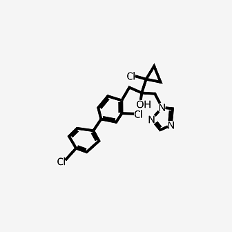 OC(Cc1ccc(-c2ccc(Cl)cc2)cc1Cl)(Cn1cncn1)C1(Cl)CC1